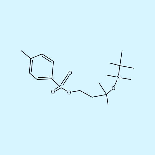 Cc1ccc(S(=O)(=O)OCCC(C)(C)O[Si](C)(C)C(C)(C)C)cc1